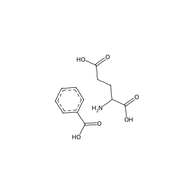 NC(CCC(=O)O)C(=O)O.O=C(O)c1ccccc1